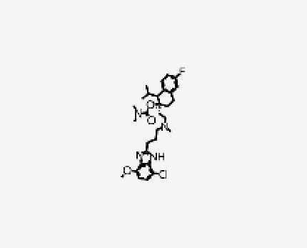 COc1ccc(Cl)c2[nH]c(CCCN(C)CC[C@@]3(OC(=O)N(C)C)CCc4cc(F)ccc4C3C(C)C)nc12